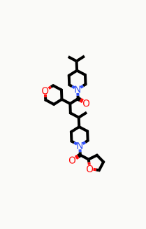 CC(C)C1CCN(C(=O)C(CC(C)C2CCN(C(=O)C3CCCO3)CC2)C2CCOCC2)CC1